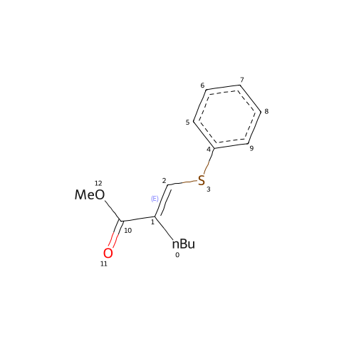 CCCC/C(=C\Sc1ccccc1)C(=O)OC